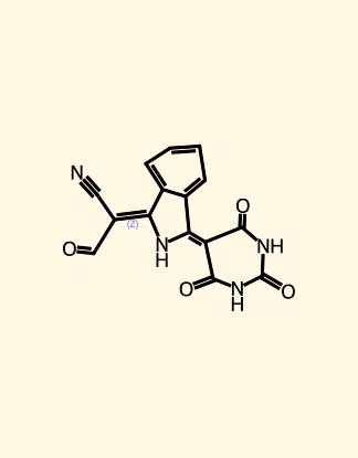 N#C/C(C=O)=c1/[nH]c(=C2C(=O)NC(=O)NC2=O)c2ccccc12